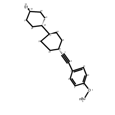 CCCCOc1ccc(C#C[C@H]2CC[C@H]([C@H]3CC[C@H](CC)CC3)CC2)cc1